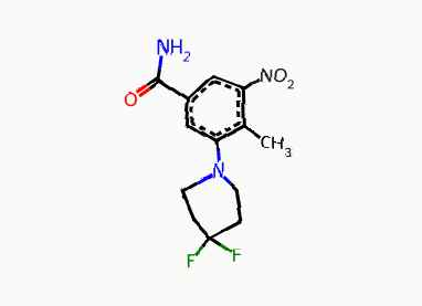 Cc1c(N2CCC(F)(F)CC2)cc(C(N)=O)cc1[N+](=O)[O-]